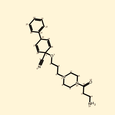 N#CC1(OCCCN2CCN(C(=O)CCN)CC2)C=CC(c2ccccc2)C=C1